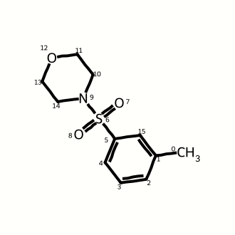 Cc1cccc(S(=O)(=O)N2CCOCC2)c1